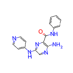 Nc1ncc(Nc2ccncc2)nc1C(=O)Nc1ccccc1